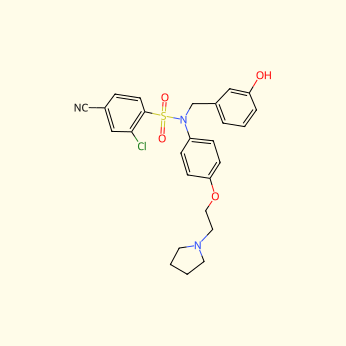 N#Cc1ccc(S(=O)(=O)N(Cc2cccc(O)c2)c2ccc(OCCN3CCCC3)cc2)c(Cl)c1